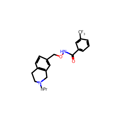 CCCN1CCc2ccc(CONC(=O)c3cccc(C(F)(F)F)c3)cc2C1